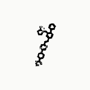 CC(C)(C)OC(=O)C1CCN(c2cnc(/C=C/c3ccc(-c4ccccc4)c(CN4CCC[C@H]4C(F)(F)F)c3)cn2)CC1